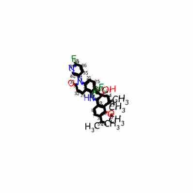 COc1c(C(C)C)ccc2c1C(C)(C)CC(O)(C(F)(F)F)C2Nc1cccc2c1ccc(=O)n2-c1ccc(F)nc1